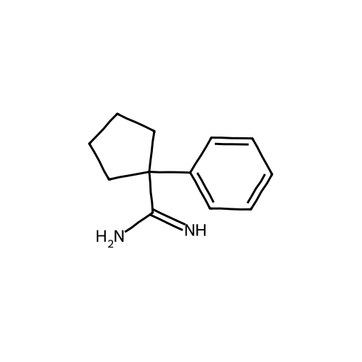 N=C(N)C1(c2ccccc2)CCCC1